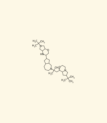 CC(C)(C)C1CC2C(CC(C)(C)N3CCCC4CC(C5COC6CN(C(C)(C)C)CC6N5)CC4C3)OCCN2C1